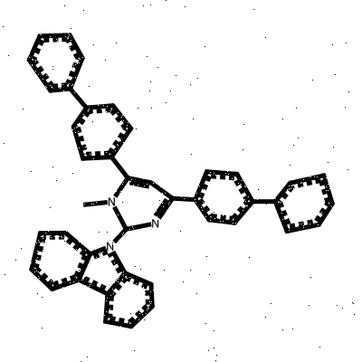 CN1C(c2ccc(-c3ccccc3)cc2)=CC(c2ccc(-c3ccccc3)cc2)=NC1n1c2ccccc2c2ccccc21